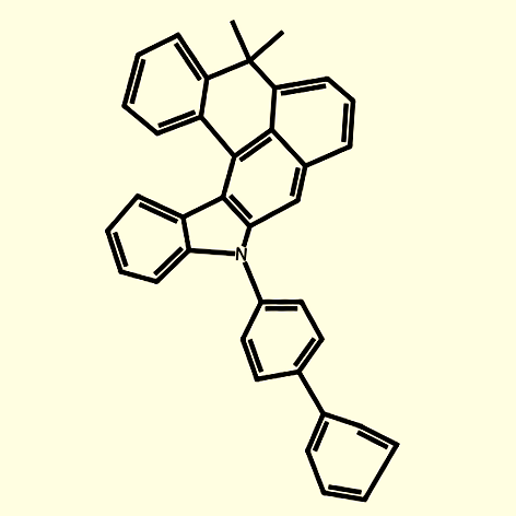 CC1(C)c2ccccc2-c2c3c1cccc3cc1c2c2ccccc2n1-c1ccc(-c2ccccc2)cc1